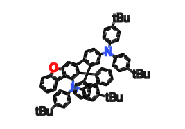 CC(C)(C)c1ccc(N(c2ccc(C(C)(C)C)cc2)c2ccc3c(c2)C2(c4ccccc4-c4ccccc42)c2c-3cc3oc4ccccc4c3c2N(c2ccc(C(C)(C)C)cc2)c2ccc(C(C)(C)C)cc2)cc1